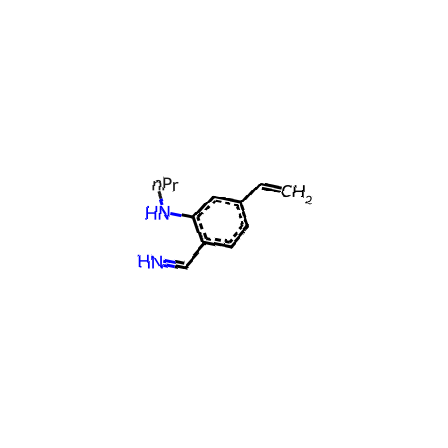 C=Cc1ccc(C=N)c(NCCC)c1